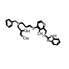 Cc1c(SCCCN(Cc2ccccc2)CC(O)CO)ccnc1CSc1nc2ccccc2[nH]1